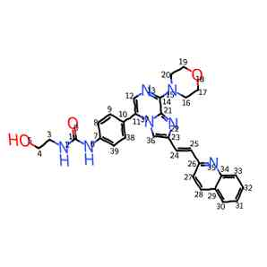 O=C(NCCO)Nc1ccc(-c2cnc(N3CCOCC3)c3nc(/C=C/c4ccc5ccccc5n4)cn23)cc1